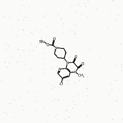 Cn1c(=O)c(=O)n(C2CCN(C(=O)OC(C)(C)C)CC2)c2ncc(Cl)cc21